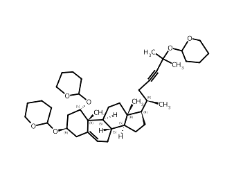 C[C@H](CC#CC(C)(C)OC1CCCCO1)[C@H]1CC[C@H]2[C@@H]3CC=C4C[C@@H](OC5CCCCO5)C[C@H](OC5CCCCO5)[C@]4(C)[C@H]3CC[C@]12C